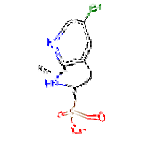 O=S(=O)([O-])C1Cc2cc(Br)cnc2N1.[Na+]